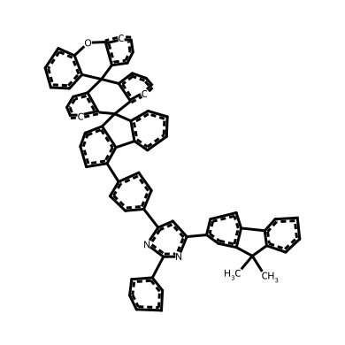 CC1(C)c2ccccc2-c2ccc(-c3cc(-c4ccc(-c5cccc6c5-c5ccccc5C65c6ccccc6C6(c7ccccc7Oc7ccccc76)c6ccccc65)cc4)nc(-c4ccccc4)n3)cc21